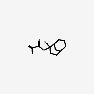 C=C(C)C(=O)OC1(CC)CCC2CCCC1C2